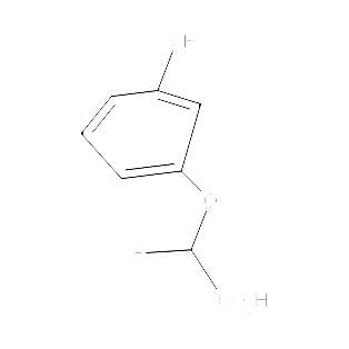 O=C(O)C(F)Oc1cccc(C(F)(F)F)c1